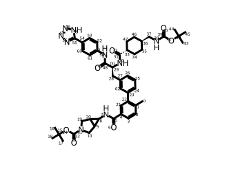 Cc1ccc(C(=O)NC2C3CN(C(=O)OC(C)(C)C)CC32)cc1-c1cccc(C[C@H](NC(=O)[C@H]2CC[C@H](CNC(=O)OC(C)(C)C)CC2)C(=O)Nc2ccc(-c3nnn[nH]3)cc2)c1